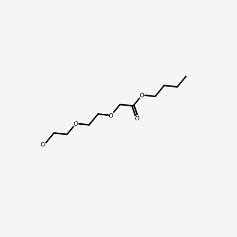 CCCCOC(=O)COCCOCCCl